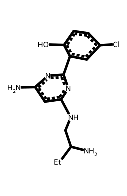 CCC(N)CNc1cc(N)nc(-c2cc(Cl)ccc2O)n1